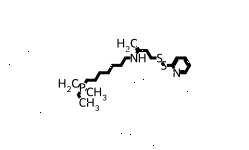 C=C(CCSSc1ccccn1)NCCCCCCCP(=C)(C)CC